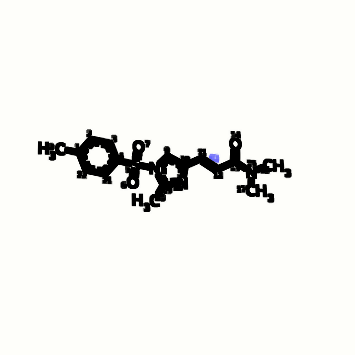 Cc1ccc(S(=O)(=O)n2cc(/C=C/C(=O)N(C)C)nc2C)cc1